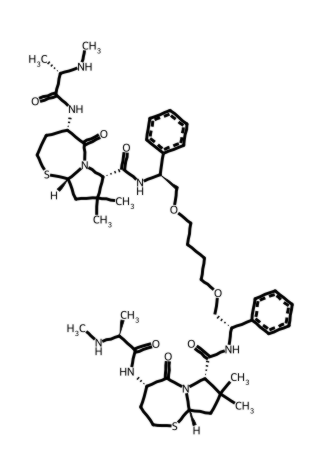 CN[C@@H](C)C(=O)N[C@H]1CCS[C@H]2CC(C)(C)[C@@H](C(=O)N[C@H](COCCCCOC[C@@H](NC(=O)[C@H]3N4C(=O)[C@@H](NC(=O)[C@H](C)NC)CCS[C@H]4CC3(C)C)c3ccccc3)c3ccccc3)N2C1=O